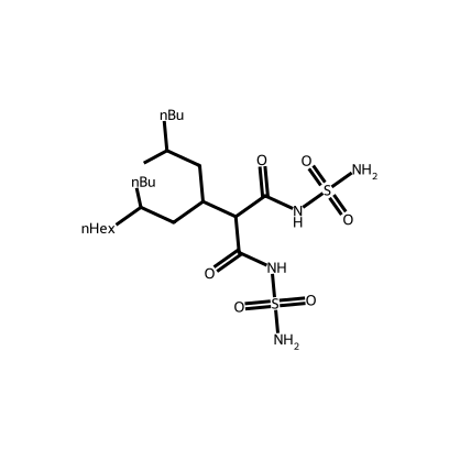 CCCCCCC(CCCC)CC(CC(C)CCCC)C(C(=O)NS(N)(=O)=O)C(=O)NS(N)(=O)=O